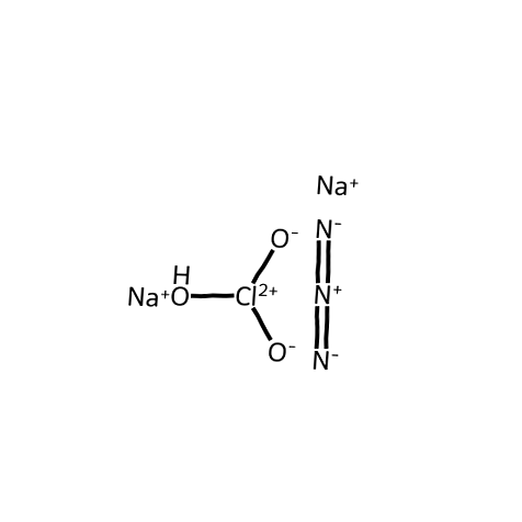 [N-]=[N+]=[N-].[Na+].[Na+].[O-][Cl+2]([O-])O